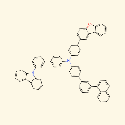 c1cc(-c2ccc(N(c3ccc(-c4cccc(-n5c6ccccc6c6ccccc65)c4)cc3)c3ccc(-c4ccc5oc6ccccc6c5c4)cc3)cc2)cc(-c2cccc3ccccc23)c1